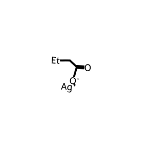 CCCC(=O)[O-].[Ag+]